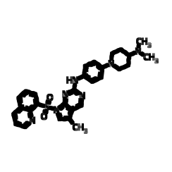 Cc1cn(S(=O)(=O)c2cccc3cccnc23)c2nc(Nc3ccc(N4CCC(N(C)C)CC4)cc3)ncc12